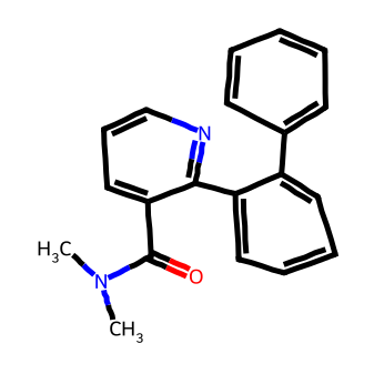 CN(C)C(=O)c1cccnc1-c1ccccc1-c1ccccc1